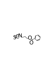 O=C(OCCCN=C=S)c1ccccc1